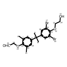 Cc1cc(C(C)(C)c2cc(Br)c(OCCO)c(Br)c2)cc(C)c1OCC=O